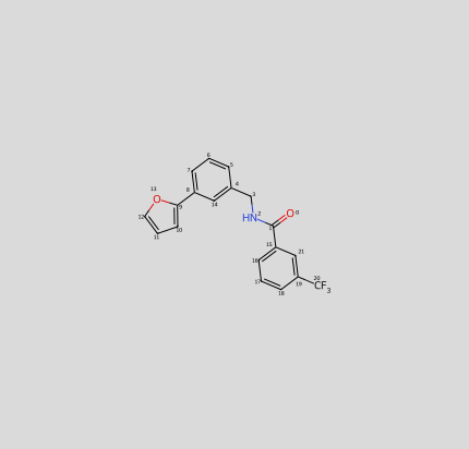 O=C(NCc1cccc(-c2ccco2)c1)c1cccc(C(F)(F)F)c1